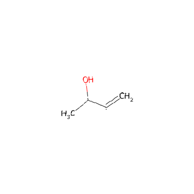 C=[C]C(C)O